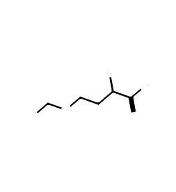 CCOCCC(N)C(=O)O